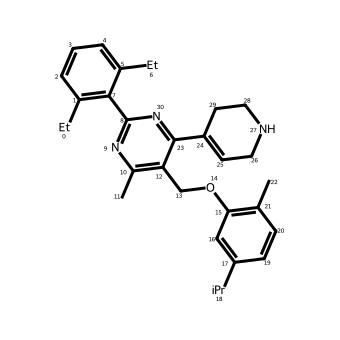 CCc1cccc(CC)c1-c1nc(C)c(COc2cc(C(C)C)ccc2C)c(C2=CCNCC2)n1